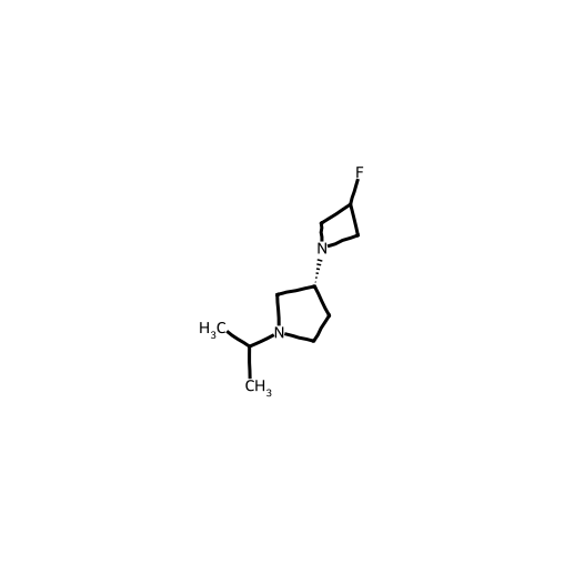 CC(C)N1CC[C@@H](N2CC(F)C2)C1